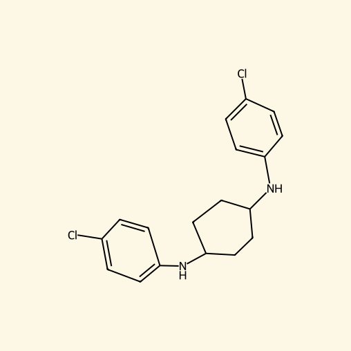 Clc1ccc(NC2CCC(Nc3ccc(Cl)cc3)CC2)cc1